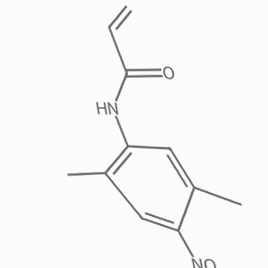 C=CC(=O)Nc1cc(C)c([N+](=O)[O-])cc1C